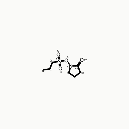 CCCS(=O)(=O)ON1CCCC1=O